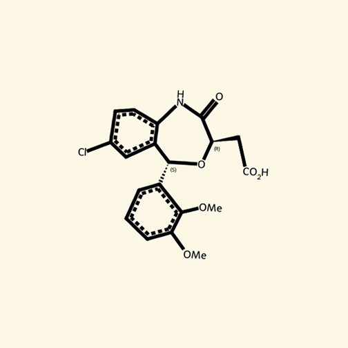 COc1cccc([C@H]2O[C@H](CC(=O)O)C(=O)Nc3ccc(Cl)cc32)c1OC